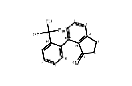 O=C1CCc2cccc(-c3ccccc3C(F)(F)F)c21